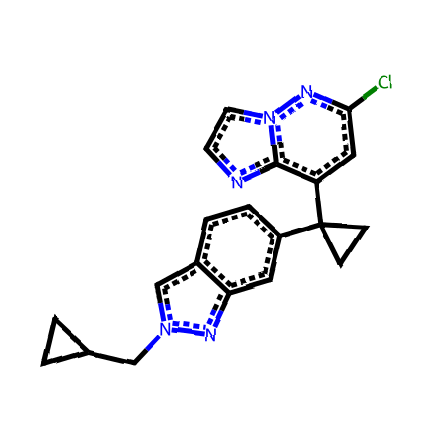 Clc1cc(C2(c3ccc4cn(CC5CC5)nc4c3)CC2)c2nccn2n1